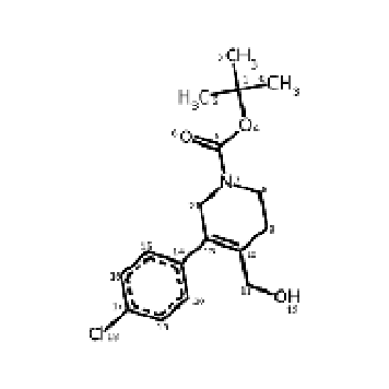 CC(C)(C)OC(=O)N1CCC(CO)=C(c2ccc(Cl)cc2)C1